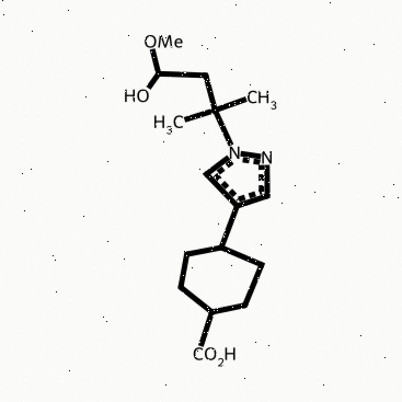 COC(O)CC(C)(C)n1cc(C2CCC(C(=O)O)CC2)cn1